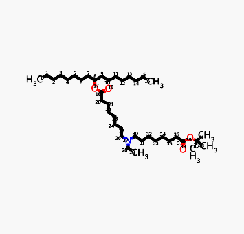 CCCCCCCCC(CCCCCCCC)OC(=O)CCCCCCCN(CC)CCCCCCCC(=O)OC(C)(C)C